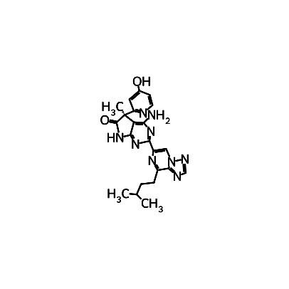 CC(C)CCc1nc(-c2nc(N)c3c(n2)NC(=O)[C@@]3(C)c2cc(O)ccn2)cn2ncnc12